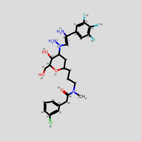 CN(CCCC1CC(N(N)/C=C(\N)c2cc(F)c(F)c(F)c2)C(O)C(CO)O1)C(=O)Cc1cccc(Cl)c1